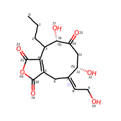 CCCC1C2=C(C/C(=C/CO)[C@@H](O)CC(=O)[C@H]1O)C(=O)OC2=O